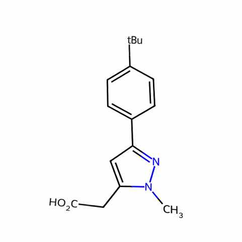 Cn1nc(-c2ccc(C(C)(C)C)cc2)cc1CC(=O)O